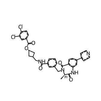 C[C@@H]1C(=O)Nc2cc(-c3ccncc3)ccc2C(=O)N1Cc1cccc(C(=O)NCC2CC(OC(=O)c3ccc(Cl)c(Cl)c3)C2)c1